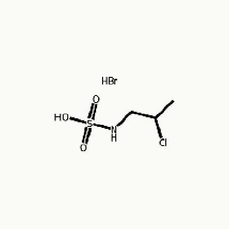 Br.CC(Cl)CNS(=O)(=O)O